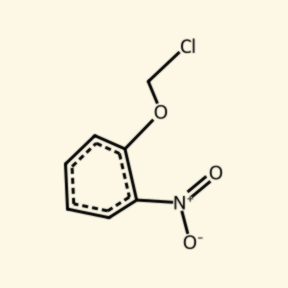 O=[N+]([O-])c1ccccc1OCCl